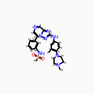 Cc1cc(Nc2nc3cncc(-c4cccc(NS(C)(=O)=O)c4)n3n2)ccc1N1CCN(C)CC1